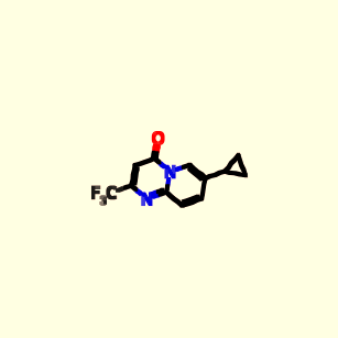 O=c1cc(C(F)(F)F)nc2ccc(C3CC3)cn12